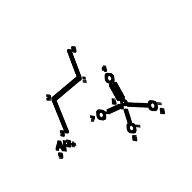 CCCC.O=P([O-])([O-])[O-].[Al+3]